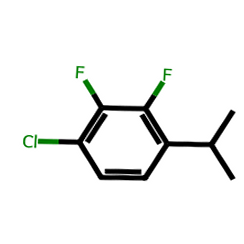 CC(C)c1ccc(Cl)c(F)c1F